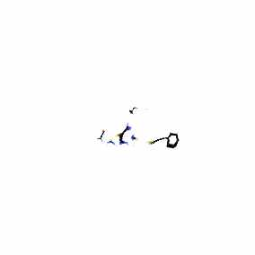 CC(C)(CO)Nc1nc(SCc2cccc(F)c2F)nc2nc(NC(CO)C(=O)O)sc12